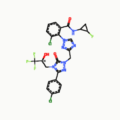 O=C(NC1CC1F)c1cccc(Cl)c1-n1cnc(Cn2nc(-c3ccc(Cl)cc3)n(C[C@H](O)C(F)(F)F)c2=O)n1